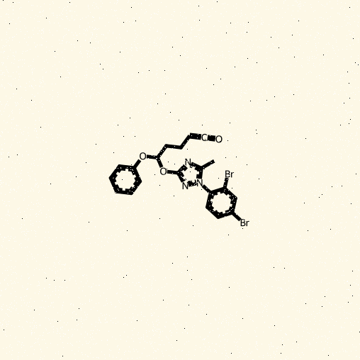 Cc1nc(OC(CCC=C=O)Oc2ccccc2)nn1-c1ccc(Br)cc1Br